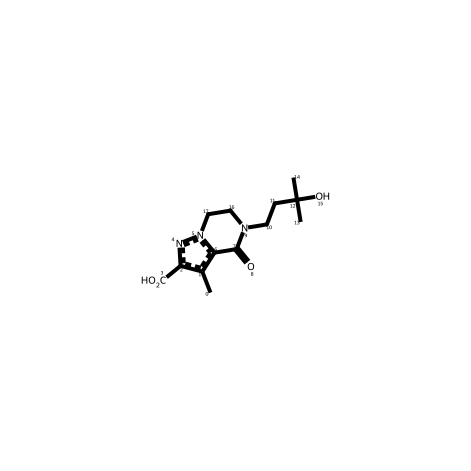 Cc1c(C(=O)O)nn2c1C(=O)N(CCC(C)(C)O)CC2